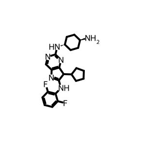 N[C@H]1CC[C@H](Nc2ncc3c(n2)C(C2CCCC2)C(Nc2c(F)cccc2F)=N3)CC1